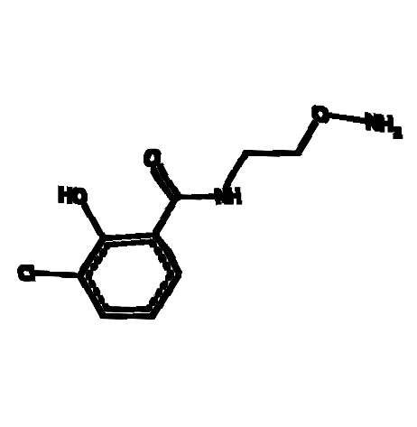 NOCCNC(=O)c1cccc(Cl)c1O